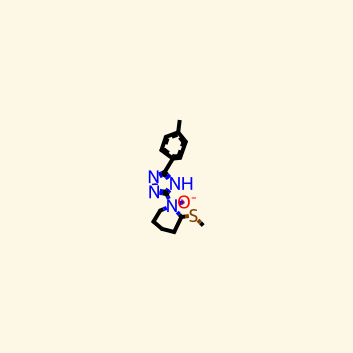 CSC1CCCC[N+]1([O-])c1nnc(-c2ccc(C)cc2)[nH]1